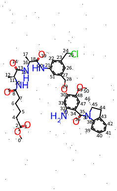 COC(=O)CCCCC(=O)N[C@@H](C)C(=O)N[C@@H](C)C(=O)Nc1cc(CCl)cc(COc2cc(N)c(C(=O)N3c4ccccc4C[C@H]3C)cc2OC)c1